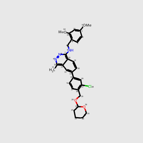 COc1ccc(CNc2nnc(C)c3cc(-c4ccc(COC5CCCCO5)c(Cl)c4)ccc23)c(OC)c1